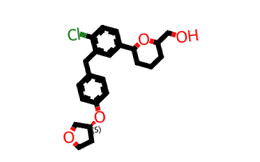 OCC1CCCC(c2ccc(Cl)c(Cc3ccc(O[C@H]4CCOC4)cc3)c2)O1